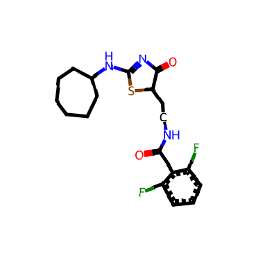 O=C(NCCC1SC(NC2CCCCCC2)=NC1=O)c1c(F)cccc1F